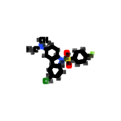 CN(C)C1CCc2c(c3cc(Cl)ccc3n2S(=O)(=O)c2ccc(F)cc2)C1